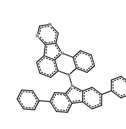 c1ccc(-c2ccc3c4ccc(-c5ccccc5)cc4n(B4c5ccccc5-n5c6cncnc6c6cccc4c65)c3c2)cc1